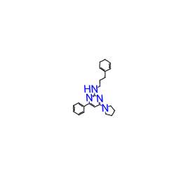 C1=CC(CCCNc2nc(-c3ccccc3)cc(N3CCCC3)n2)=CCC1